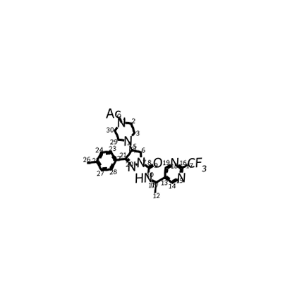 CC(=O)N1CCN([C@H]2CN(C(=O)N[C@H](C)c3cnc(C(F)(F)F)nc3)N=C2c2ccc(C)cc2)CC1